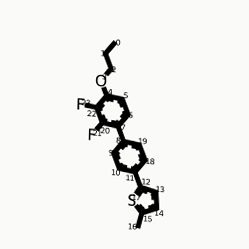 CCCOc1ccc(-c2ccc(-c3ccc(C)s3)cc2)c(F)c1F